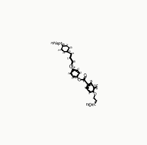 CCCCCCCCCCCCOc1ccc(C(=O)Oc2ccc(OCCCC3CCC(CCCCCCC)CC3)cc2)cc1F